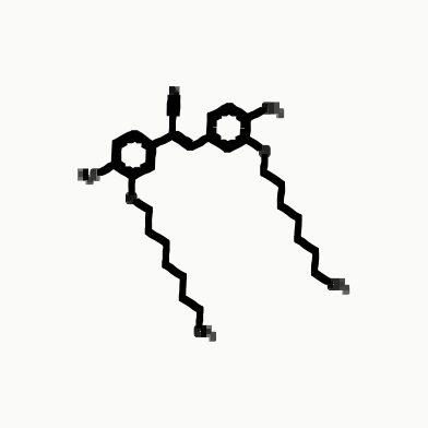 CCCCCCCCOc1cc(/C=C(\C#N)c2ccc(C)c(OCCCCCCCC)c2)ccc1C